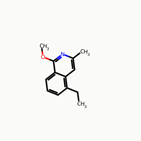 CCc1cccc2c(OC)nc(C)cc12